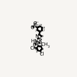 Cc1cc(Cl)cc(Cl)c1S(=O)(=O)Nc1nc(-c2cccc([N+](=O)[O-])c2)cs1